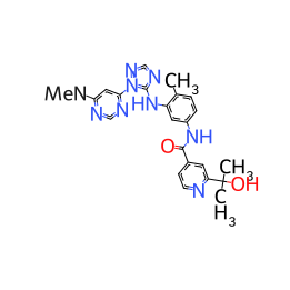 CNc1cc(-n2ncnc2Nc2cc(NC(=O)c3ccnc(C(C)(C)O)c3)ccc2C)ncn1